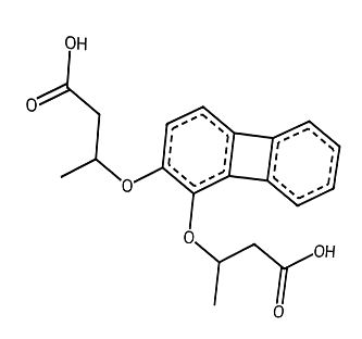 CC(CC(=O)O)Oc1ccc2c(c1OC(C)CC(=O)O)-c1ccccc1-2